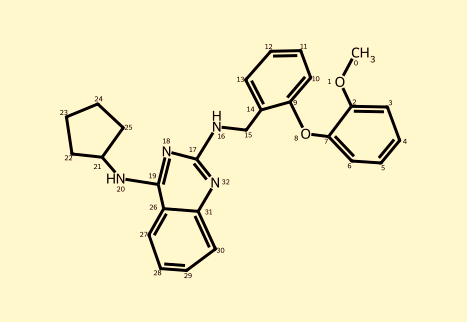 COc1ccccc1Oc1ccccc1CNc1nc(NC2CCCC2)c2ccccc2n1